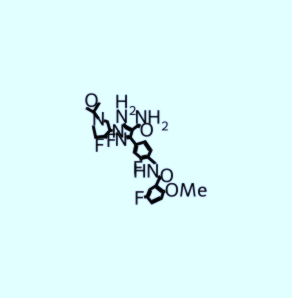 COc1ccc(F)cc1C(=O)NCc1ccc(-c2nn(C3CN(C4COC4)CCC3(F)F)c(N)c2C(N)=O)cc1F